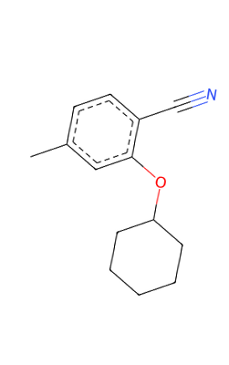 Cc1ccc(C#N)c(OC2CCCCC2)c1